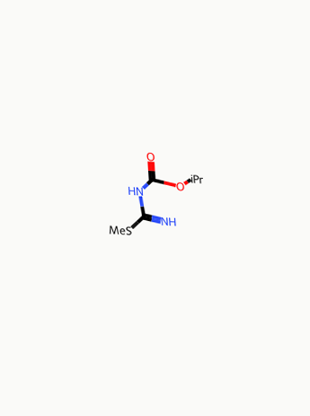 CSC(=N)NC(=O)OC(C)C